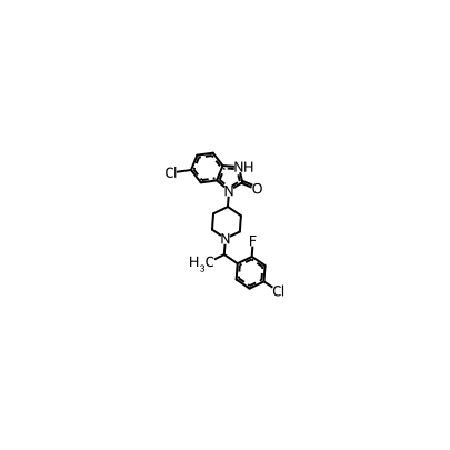 CC(c1ccc(Cl)cc1F)N1CCC(n2c(=O)[nH]c3ccc(Cl)cc32)CC1